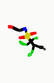 CC(Cl)C(Cl)(Cl)S(=O)(=O)N=C=O